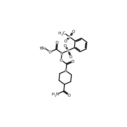 CC(C)(C)OC(=O)N(OC(=O)N1CCC(C(N)=O)CC1)S(=O)(=O)c1ccccc1S(C)(=O)=O